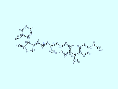 CC(/C=N/N=C1\SCC(=O)N1c1ccccc1C(C)C)=C\c1cnc(N(C)c2ccc(OC(F)(F)F)cc2)nc1